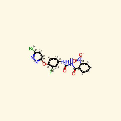 O=C(NC(=O)c1ccccc1[N+](=O)[O-])Nc1ccc(Oc2ccc(Br)nn2)c(F)c1